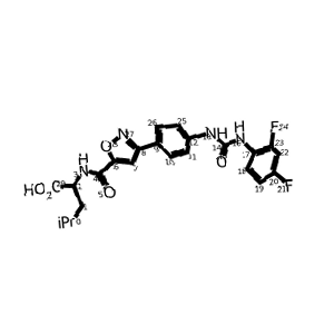 CC(C)CC(NC(=O)c1cc(-c2ccc(NC(=O)Nc3ccc(F)cc3F)cc2)no1)C(=O)O